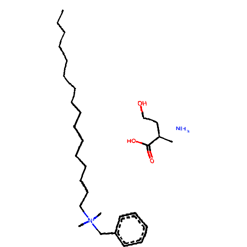 CC(CCO)C(=O)O.CCCCCCCCCCCCCCCC[N+](C)(C)Cc1ccccc1.N